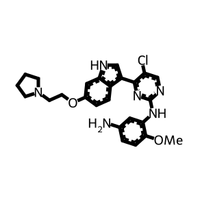 COc1ccc(N)cc1Nc1ncc(Cl)c(-c2c[nH]c3cc(OCCN4CCCC4)ccc23)n1